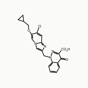 O=C(O)c1nn(Cc2cn3cc(OCC4CC4)c(Cl)cc3n2)c2ccccc2c1=O